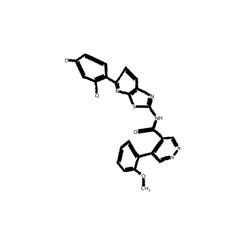 COc1ccccc1-c1cnncc1C(=O)Nc1nc2ccc(-c3ccc(Cl)cc3Cl)nc2s1